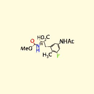 COC(=O)N[C@@H](CCc1cc(NC(C)=O)cc(F)c1C)C(=O)O